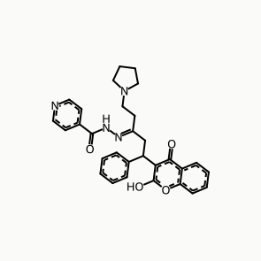 O=C(NN=C(CCN1CCCC1)CC(c1ccccc1)c1c(O)oc2ccccc2c1=O)c1ccncc1